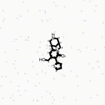 O=c1c(-c2cccs2)c(CO)cc2n1CC1CNCC2C1